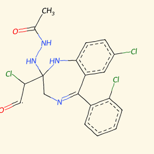 CC(=O)NNC1(C(Cl)[C]=O)CN=C(c2ccccc2Cl)c2cc(Cl)ccc2N1